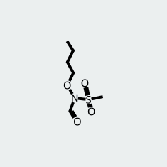 CCCCON(C=O)S(C)(=O)=O